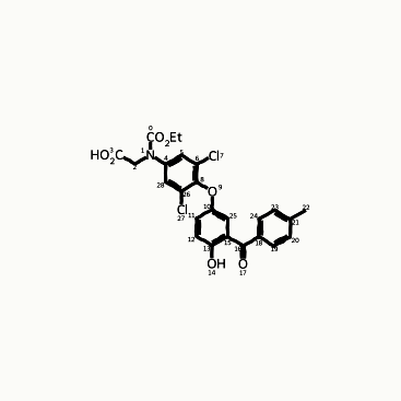 CCOC(=O)N(CC(=O)O)c1cc(Cl)c(Oc2ccc(O)c(C(=O)c3ccc(C)cc3)c2)c(Cl)c1